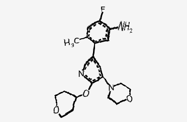 Cc1cc(F)c(N)cc1-c1cnc(OC2CCOCC2)c(N2CCOCC2)c1